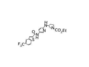 CCOC(=O)N1CC[C@H](Nc2ccc(NC(=O)c3cc4cc(C(F)(F)F)ccc4s3)cn2)C1